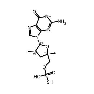 C[C@@H]1C[C@@](C)(COP(=O)(O)S)O[C@H]1n1cnc2c(=O)[nH]c(N)nc21